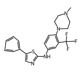 CN1CCN(c2ccc(Nc3ncc(-c4ccccc4)s3)cc2C(F)(F)F)CC1